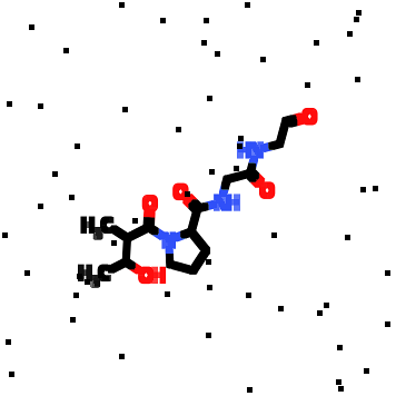 CC(O)C(C)C(=O)N1CCCC1C(=O)NCC(=O)NCC=O